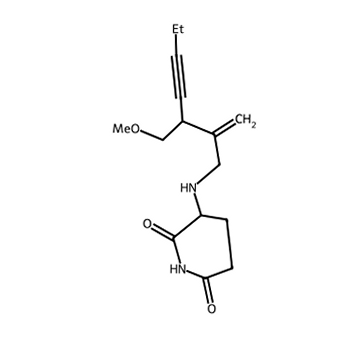 C=C(CNC1CCC(=O)NC1=O)C(C#CCC)COC